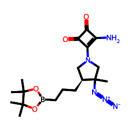 CC1(N=[N+]=[N-])CN(c2c(N)c(=O)c2=O)C[C@@H]1CCCB1OC(C)(C)C(C)(C)O1